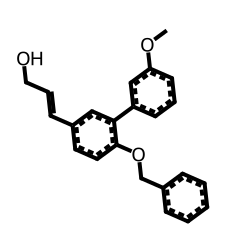 COc1cccc(-c2cc(C=CCO)ccc2OCc2ccccc2)c1